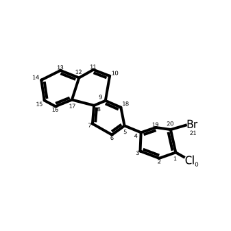 Clc1ccc(-c2ccc3c(ccc4ccccc43)c2)cc1Br